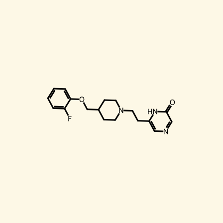 O=c1cncc(CCN2CCC(COc3ccccc3F)CC2)[nH]1